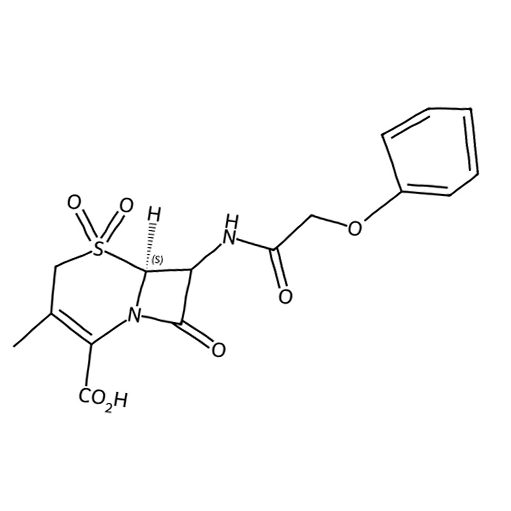 CC1=C(C(=O)O)N2C(=O)C(NC(=O)COc3ccccc3)[C@@H]2S(=O)(=O)C1